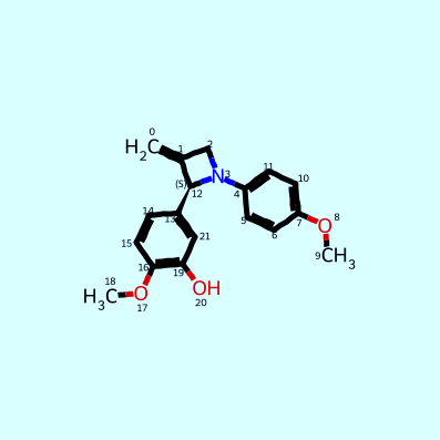 C=C1CN(c2ccc(OC)cc2)[C@H]1c1ccc(OC)c(O)c1